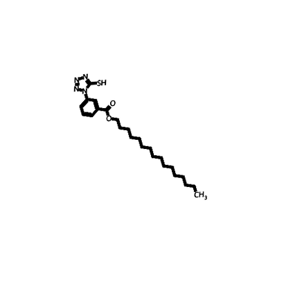 CCCCCCCCCCCCCCCCOC(=O)c1cccc(-n2nnnc2S)c1